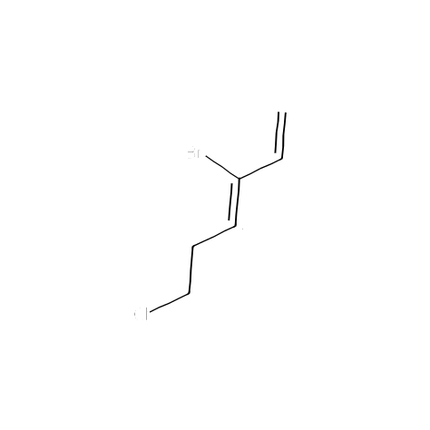 C=CC(Br)=CCCCl